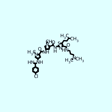 CC(C)CCc1sc(NC(=O)c2cc(NC(=O)c3cc(NC(=N)c4ccc(Cl)cc4)cn3C)cn2C)nc1C(=O)NCCCN(C)C